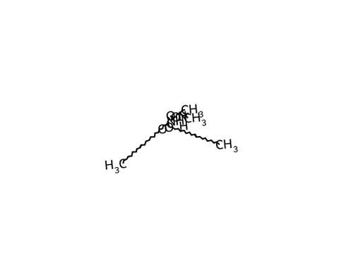 CCCCCCCCC=CCCCCCCCCOCC(CNC(=O)OCC(CC)NCC)OCCCCCCCCC=CCCCCCCCC